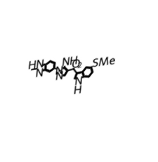 CSc1ccc2[nH]cc(C(=O)c3cnn(-c4ccc5[nH]c(C)nc5c4)c3N)c2c1